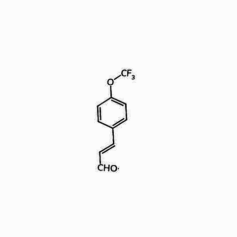 O=[C]C=Cc1ccc(OC(F)(F)F)cc1